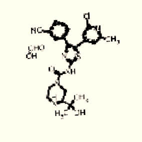 Cc1cc(-c2sc(NC(=O)N3CCN[C@H](C(C)(C)O)C3)nc2-c2cccc(C#N)c2)cc(Cl)n1.O=CO